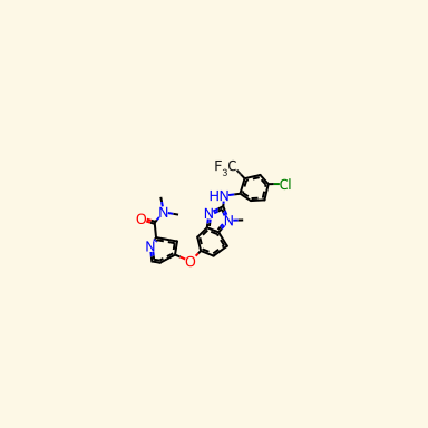 CN(C)C(=O)c1cc(Oc2ccc3c(c2)nc(Nc2ccc(Cl)cc2C(F)(F)F)n3C)ccn1